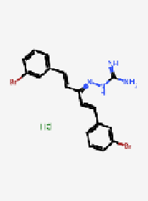 Cl.N=C(N)NN=C(C=Cc1cccc(Br)c1)C=Cc1cccc(Br)c1